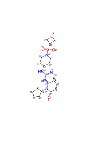 O=c1ccc2cnc(NC3CCN(S(=O)(=O)C4COC4)CC3)nc2n1C1CCCC1